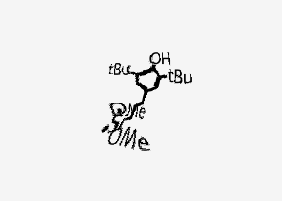 CO[Si](C)(CCCc1cc(C(C)(C)C)c(O)c(C(C)(C)C)c1)OC